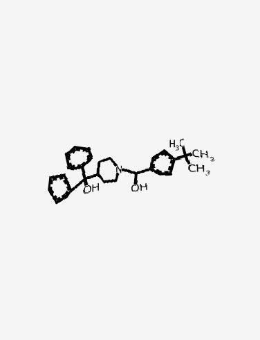 CC(C)(C)c1ccc(C(O)CN2CCC(C(O)(c3ccccc3)c3ccccc3)CC2)cc1